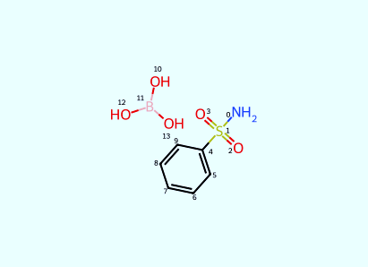 NS(=O)(=O)c1ccccc1.OB(O)O